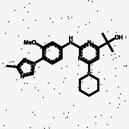 COc1cc(Nc2nc(N3CCCCC3)cc(C(C)(C)O)n2)ccc1-n1cnc(C)c1